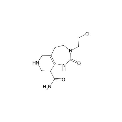 NC(=O)C1CNCC2=C1NC(=O)N(CCCl)CC2